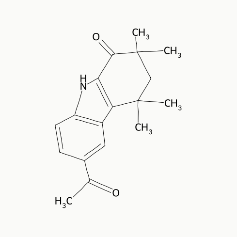 CC(=O)c1ccc2[nH]c3c(c2c1)C(C)(C)CC(C)(C)C3=O